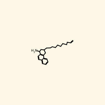 C=CCCCCCCCCCC1Cc2c(ccc3ccccc23)C(N)C1